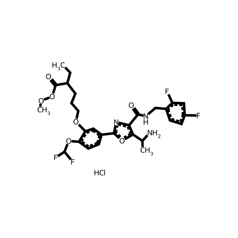 CCC(CCCOc1cc(-c2nc(C(=O)NCc3ccc(F)cc3F)c(C(C)N)o2)ccc1OC(F)F)C(=O)OOC.Cl